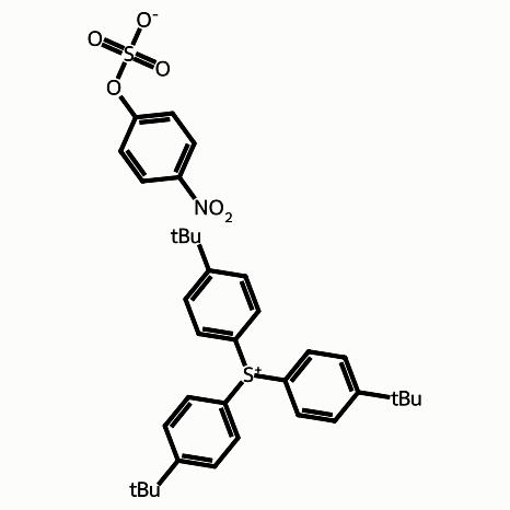 CC(C)(C)c1ccc([S+](c2ccc(C(C)(C)C)cc2)c2ccc(C(C)(C)C)cc2)cc1.O=[N+]([O-])c1ccc(OS(=O)(=O)[O-])cc1